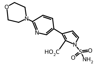 NS(=O)(=O)n1ccc(-c2ccc(N3CCOCC3)nc2)c1C(=O)O